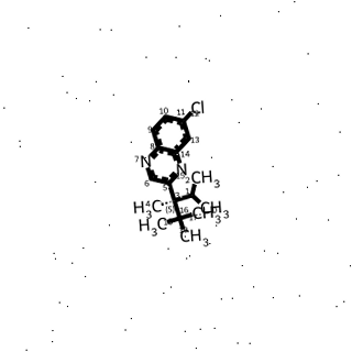 CC(C)[C@](C)(c1cnc2ccc(Cl)cc2n1)C(C)(C)C